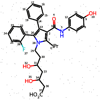 CC(C)c1c(C(=O)Nc2ccc(O)cc2)c(-c2ccccc2)c(-c2ccccc2F)n1CCC(O)CC(O)CC(=O)O